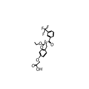 CCOC(=O)[N+](C)(Cc1ccc(OCC(=O)O)cc1)C(=O)c1cccc(C(F)(F)F)c1